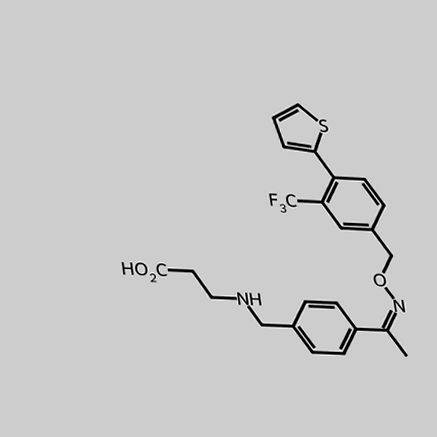 CC(=NOCc1ccc(-c2cccs2)c(C(F)(F)F)c1)c1ccc(CNCCC(=O)O)cc1